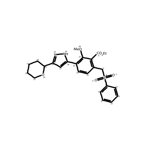 CCOC(=O)c1c(CS(=O)(=O)c2ccccc2)ccc(-c2cc(C3CCCCO3)n[nH]2)c1OC